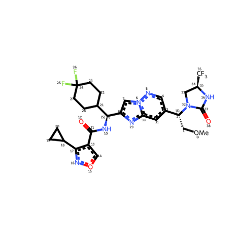 COC[C@H](c1cnn2cc([C@@H](NC(=O)c3conc3C3CC3)C3CCC(F)(F)CC3)nc2c1)N1C[C@@H](C(F)(F)F)NC1=O